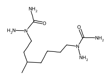 CC(CCCCN(N)C(N)=O)CCN(N)C(N)=O